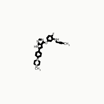 CC#CCNc1cc(Oc2ncnc3[nH]c(-c4ccc(N5CCN(C)CC5)cc4)cc23)ccc1F